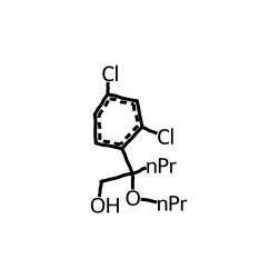 CCCOC(CO)(CCC)c1ccc(Cl)cc1Cl